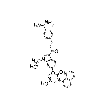 Cl.Cn1cc(C(=O)CCc2ccc(C(=N)N)cc2)c2ccc(OC(=O)N(CC(=O)O)c3cccc4cccnc34)cc21